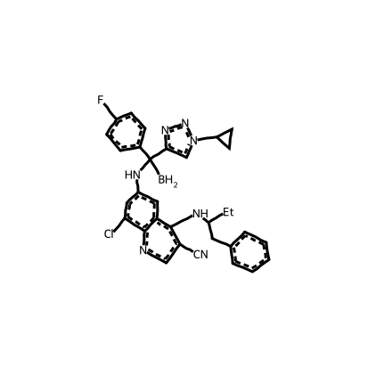 BC(Nc1cc(Cl)c2ncc(C#N)c(NC(CC)Cc3ccccc3)c2c1)(c1ccc(F)cc1)c1cn(C2CC2)nn1